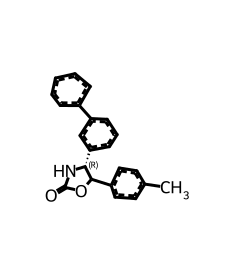 Cc1ccc(C2OC(=O)N[C@@H]2c2cccc(-c3ccccc3)c2)cc1